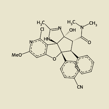 COc1cc2c(c(Cl)n1)[C@]13NC(C)=N[C@@]1(O)[C@H](C(=O)N(C)C)[C@@H](c1ccccc1)[C@]3(c1ccc(C#N)cc1)O2